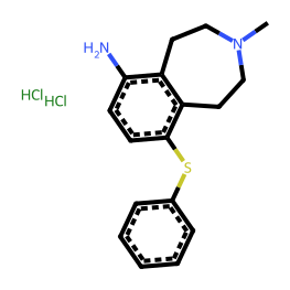 CN1CCc2c(N)ccc(Sc3ccccc3)c2CC1.Cl.Cl